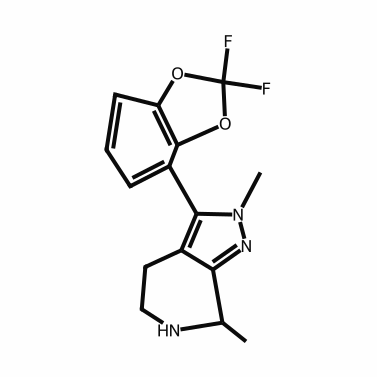 CC1NCCc2c1nn(C)c2-c1cccc2c1OC(F)(F)O2